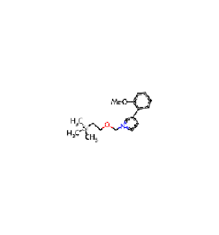 COc1ccccc1-c1ccn(COCC[Si](C)(C)C)c1